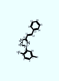 Cc1ccc(F)c(-n2nnc(C=Cc3ccccc3)n2)c1